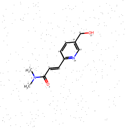 CN(C)C(=O)C=Cc1ccc(CO)cn1